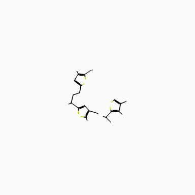 Cc1cc(CCC(C)c2cc(CCC(C)c3scc(C)c3C)c(C)s2)sc1C(C)C